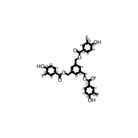 O=C(OCc1cc(COC(=O)c2ccc(O)c(F)c2)cc(COC(=O)c2ccc(O)c(F)c2)c1)c1ccc(O)c(F)c1